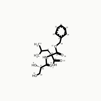 CC(C)C[C@](NC(=O)[C@@H](O)CO)(C(=O)O)C(=O)OCc1ccccc1